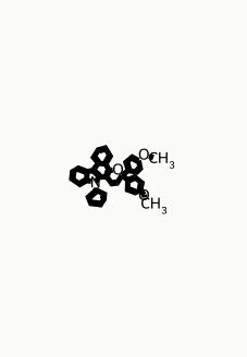 COc1ccc(C2(c3ccc(OC)cc3)C=Cc3c(c4ccccc4c4c5ccccc5n(-c5ccccc5)c34)O2)cc1